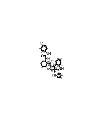 O=C(Nc1ccc(F)cc1)N[C@@H]1CCCC[C@@H]1C(=O)N1CC[C@@H]2[C@H](c3ncc[nH]3)Nc3ccccc3[C@@H]21